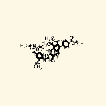 CCOc1cc(CP(=O)(OCC)OCC)ccc1Nc1ncc(C(F)(F)F)c(Nc2ccc([C@H]3CC[C@@H](C(=O)OCC)CC3)c3c2C(=O)N(C)C3)n1